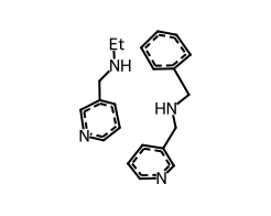 CCNCc1cccnc1.c1ccc(CNCc2cccnc2)cc1